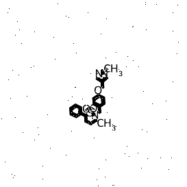 C[C@H]1CCC(c2ccccc2)S(=O)(=O)N1Cc1ccc(OCc2cnn(C)c2)cc1